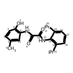 Cc1ccc(O)c(NC(=O)C(=O)Nc2c(C(C)C)cccc2C(C)C)c1